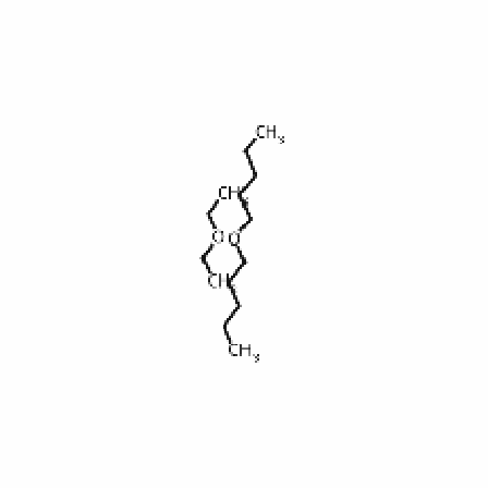 CCCCCOCCCCC.CCOCC